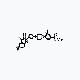 CNC(=O)c1ccc(N2CCN([C@H]3C=C(c4nc5c(c(=O)[nH]4)CC4(CC5)CC4)CC3)CC2)c(Cl)c1